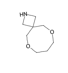 C1COCC2(CNC2)COC1